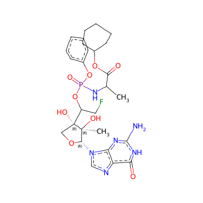 CC(NP(=O)(Oc1ccccc1)OC(CF)[C@]1(O)CO[C@@H](n2cnc3c(=O)[nH]c(N)nc32)[C@]1(C)O)C(=O)OC1CCCCC1